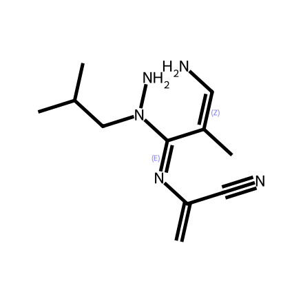 C=C(C#N)/N=C(\C(C)=C/N)N(N)CC(C)C